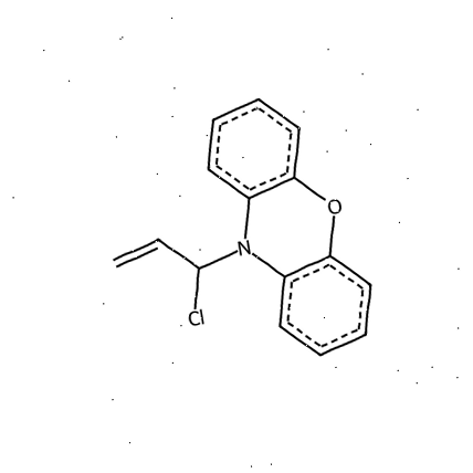 C=CC(Cl)N1c2ccccc2Oc2ccccc21